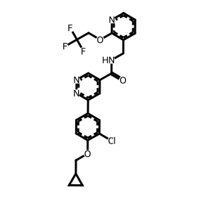 O=C(NCc1cccnc1OCC(F)(F)F)c1cnnc(-c2ccc(OCC3CC3)c(Cl)c2)c1